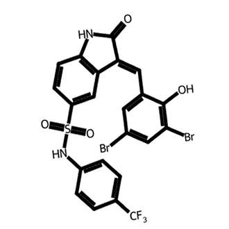 O=C1Nc2ccc(S(=O)(=O)Nc3ccc(C(F)(F)F)cc3)cc2C1=Cc1cc(Br)cc(Br)c1O